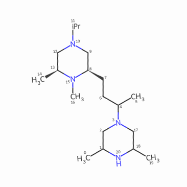 CC1CN(C(C)CC[C@@H]2CN(C(C)C)C[C@H](C)N2C)CC(C)N1